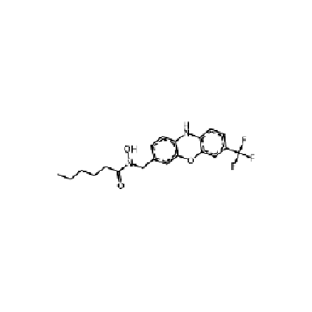 CCCCCC(=O)N(O)Cc1ccc2c(c1)Oc1cc(C(F)(F)F)ccc1N2